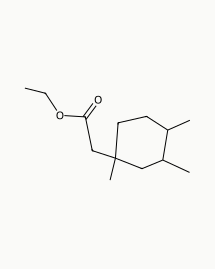 CCOC(=O)CC1(C)CCC(C)C(C)C1